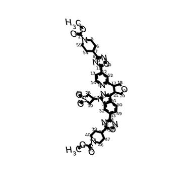 COC(=O)N1CCC(c2noc(-c3ccnc(C4COCC4c4nn(C5CS(=O)(=O)C5)c5cc(-c6noc(C7CCN(C(=O)OC)CC7)n6)ccc45)c3)n2)CC1